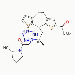 CNC(=O)c1cc2c(s1)C(C[C@@H](C)NCC(=O)N1CCCC1C#N)(C(=N)/N=N\N)c1sccc1CC2